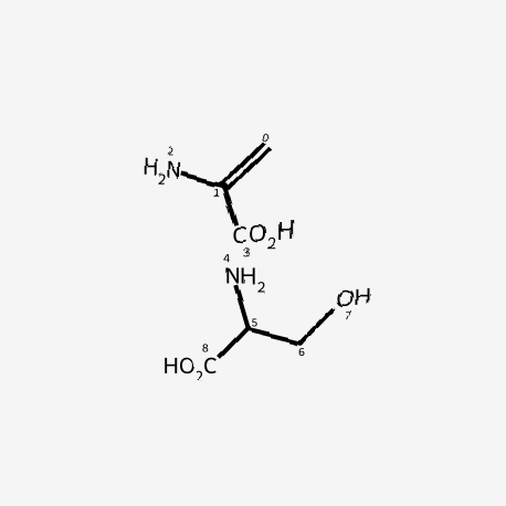 C=C(N)C(=O)O.NC(CO)C(=O)O